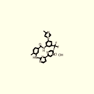 Cc1cn(-c2cc(NC(=O)c3ccc(C)c(Nc4nccc(-c5cnccn5)n4)c3)cc(C(F)(F)F)c2)cn1.Cl.Cl